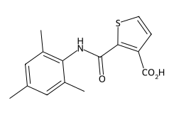 Cc1cc(C)c(NC(=O)c2sccc2C(=O)O)c(C)c1